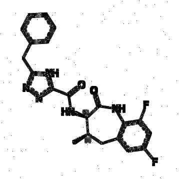 C[C@@H]1Cc2cc(F)cc(F)c2NC(=O)[C@@H]1NC(=O)c1nnc(Cc2ccccc2)[nH]1